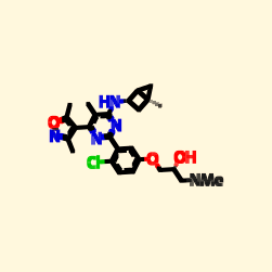 CNC[C@@H](O)COc1ccc(Cl)c(-c2nc(N[C@@H]3C[C@]4(C)CC34)c(C)c(-c3c(C)noc3C)n2)c1